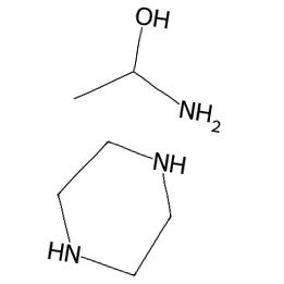 C1CNCCN1.CC(N)O